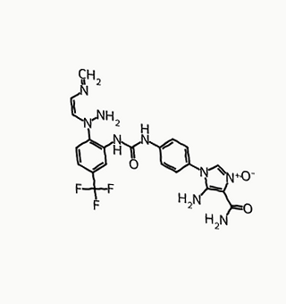 C=N/C=C\N(N)c1ccc(C(F)(F)F)cc1NC(=O)Nc1ccc(-n2c[n+]([O-])c(C(N)=O)c2N)cc1